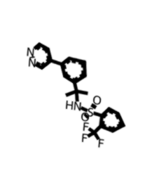 CC(C)(NS(=O)(=O)c1ccccc1C(F)(F)F)c1cccc(-c2ccnnc2)c1